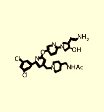 CC(=O)NCC1CCN(Cc2cc(Oc3ccc(N4CC(/C=C/N)[C@@H](O)C4)nc3)nc(-c3cc(Cl)cc(Cl)c3)c2)CC1